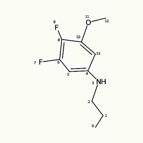 CCCNc1cc(F)c(F)c(OC)c1